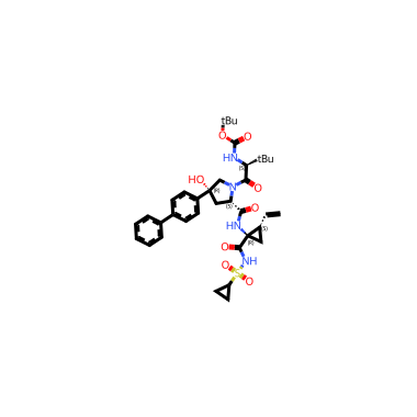 C=C[C@@H]1C[C@]1(NC(=O)[C@@H]1C[C@@](O)(c2ccc(-c3ccccc3)cc2)CN1C(=O)[C@@H](NC(=O)OC(C)(C)C)C(C)(C)C)C(=O)NS(=O)(=O)C1CC1